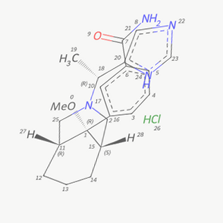 CO[C@@]1(c2cccc(C(N)=O)c2)[C@@H]2CCC[C@H]1CN([C@H](C)c1cnc[nH]1)C2.Cl